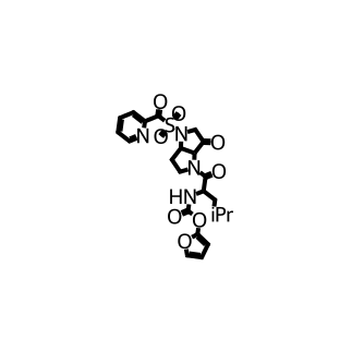 CC(C)CC(NC(=O)Oc1ccco1)C(=O)N1CCC2C1C(=O)CN2S(=O)(=O)C(=O)c1ccccn1